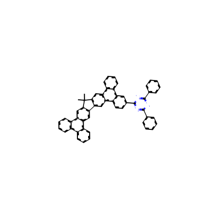 CC1(C)c2cc3c4ccccc4c4ccccc4c3cc2-c2cc3c4ccc(-c5nc(-c6ccccc6)nc(-c6ccccc6)n5)cc4c4ccccc4c3cc21